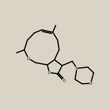 CC1=CCCC(C)OCC2OC(=O)C(CN3CCOCC3)C2CC1